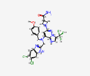 COc1ccc(CN(Cc2nc3cc(Cl)c(Cl)cc3[nH]2)c2cc(N3CC(C(N)=O)C3)nn3c(C(F)(F)F)cnc23)cc1